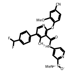 CN[S@@+]([O-])c1cc(NC(=O)c2c(Oc3ccc(C#N)cc3OC)ncc(-c3ccc(C(F)F)cc3)c2C)ccn1